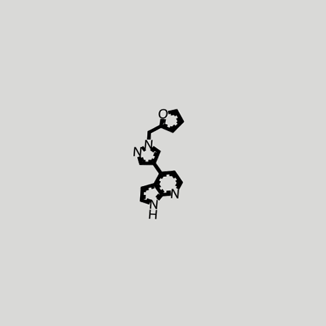 c1coc(Cn2cc(-c3ccnc4[nH]ccc34)cn2)c1